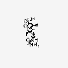 Cc1c(N2CCC(NC(=O)[C@H](C)N)C2)c(F)cn2c(=O)c(C(=O)O)cc(C3CC3)c12